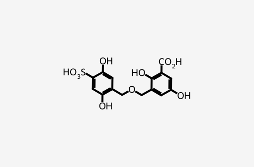 O=C(O)c1cc(O)cc(COCc2cc(O)c(S(=O)(=O)O)cc2O)c1O